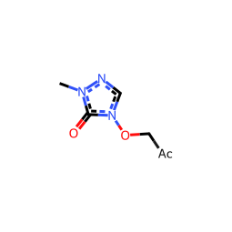 CC(=O)COn1cnn(C)c1=O